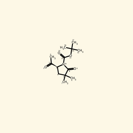 CC(=O)[C@@H]1CC(C)(C)C(=O)N1C(=O)OC(C)(C)C